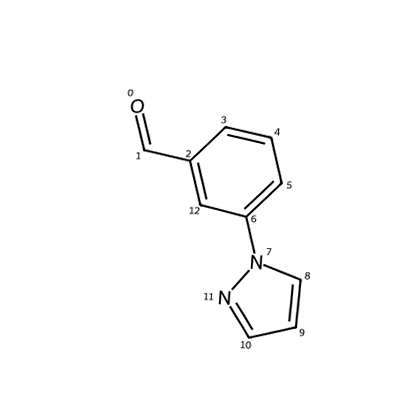 O=Cc1cccc(-n2cccn2)c1